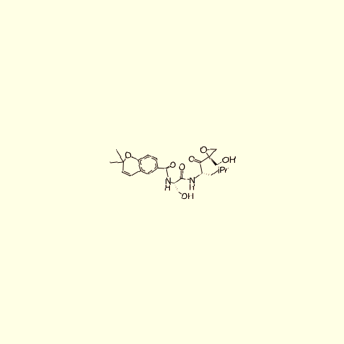 CC(C)C[C@H](NC(=O)[C@H](CO)NC(=O)c1ccc2c(c1)C=CC(C)(C)O2)C(=O)[C@@]1(CO)CO1